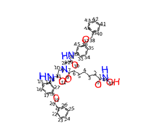 O=C(CCCCCC(=O)N(CC(=O)Nc1cccc(OCc2ccccc2)c1)CC(=O)Nc1cccc(OCc2ccccc2)c1)NO